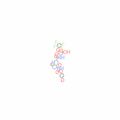 COc1ccc(OC(=O)NC2CCc3ccn4c3C2C(=O)CC(C(=O)NC(CC(=O)O)C(=O)COc2c(F)c(F)cc(F)c2F)C4)cc1